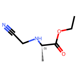 CCOC(=O)[C@H](C)NCC#N